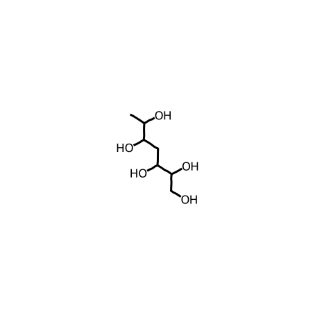 CC(O)C(O)CC(O)C(O)CO